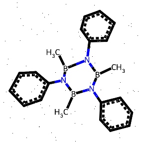 CB1N(c2ccccc2)B(C)N(c2ccccc2)B(C)N1c1ccccc1